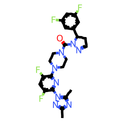 Cc1nc(C)n(-c2nc(N3CCN(C(=O)N4N=CCC4c4cc(F)cc(F)c4)CC3)c(F)cc2F)n1